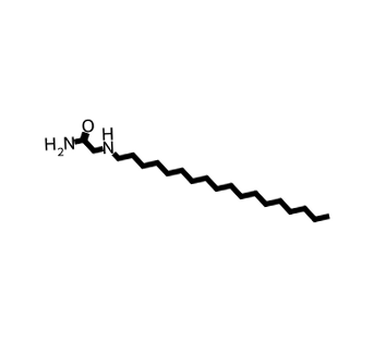 CCCCCCCCCCCCCCCCCCNCC(N)=O